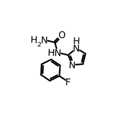 Fc1ccccc1.NC(=O)Nc1ncc[nH]1